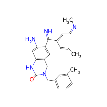 C/C=C/C(=C\C=N/C)C(=N)c1cc2c(cc1N)NC(=O)N(Cc1cccc(C)c1)C2